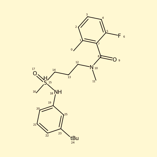 Cc1cccc(F)c1C(=O)N(C)CCC[SH](C)(=O)Nc1cccc(C(C)(C)C)c1